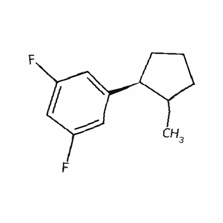 CC1CCC[C@@H]1c1cc(F)cc(F)c1